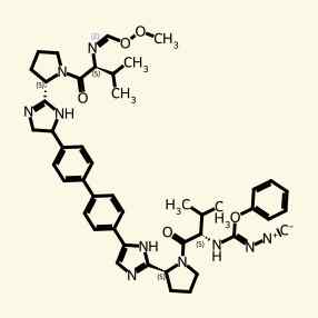 [C-]#[N+]N=C(N[C@H](C(=O)N1CCC[C@H]1c1ncc(-c2ccc(-c3ccc(C4CN=C([C@@H]5CCCN5C(=O)[C@@H](/N=C\OOC)C(C)C)N4)cc3)cc2)[nH]1)C(C)C)Oc1ccccc1